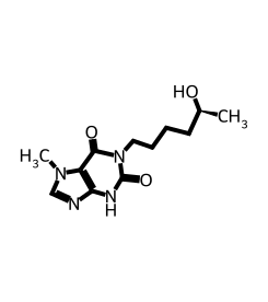 C[C@H](O)CCCCn1c(=O)[nH]c2ncn(C)c2c1=O